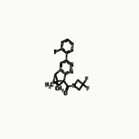 CC1(C)C2CCC1(C(=O)N1CC(F)(F)C1)c1nnc(-c3ccccc3F)cc12